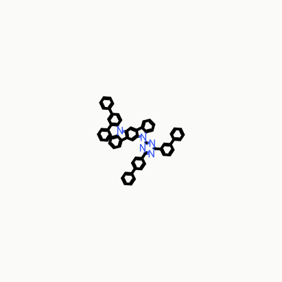 c1ccc(-c2ccc(-c3nc(-c4cccc(-c5ccccc5)c4)nc(-n4c5ccccc5c5cc6c(cc54)c4ccccc4n6-c4ccc(-c5ccccc5)cc4-c4ccccc4)n3)cc2)cc1